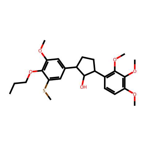 CCCOc1c(OC)cc(C2CCC(c3ccc(OC)c(OC)c3OC)C2O)cc1SC